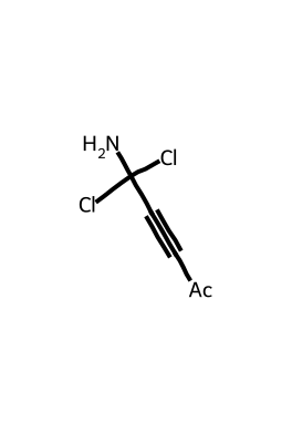 CC(=O)C#CC(N)(Cl)Cl